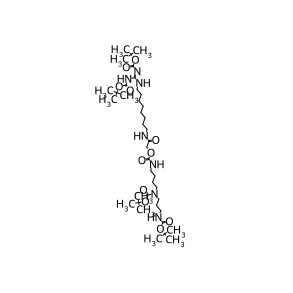 CC(C)(C)OC(=O)N=C(NCCCCCCCCNC(=O)COC(=O)NCCCCN(CCCNC(=O)OC(C)(C)C)C(=O)OC(C)(C)C)NC(=O)OC(C)(C)C